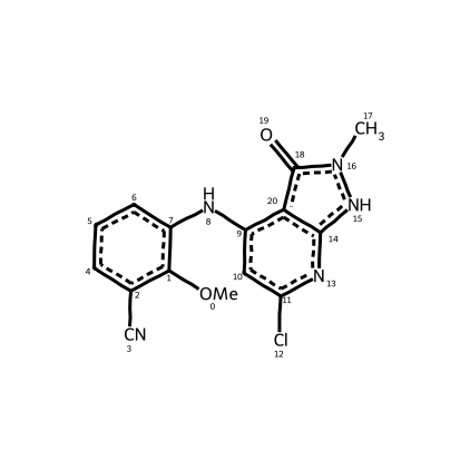 COc1c(C#N)cccc1Nc1cc(Cl)nc2[nH]n(C)c(=O)c12